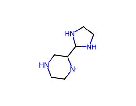 C1CNCC(C2NCCN2)[N]1